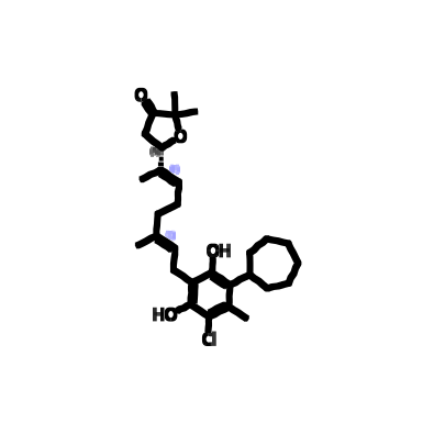 C/C(=C\Cc1c(O)c(Cl)c(C)c(C2CCCCCC2)c1O)CC/C=C(\C)[C@@H]1CC(=O)C(C)(C)O1